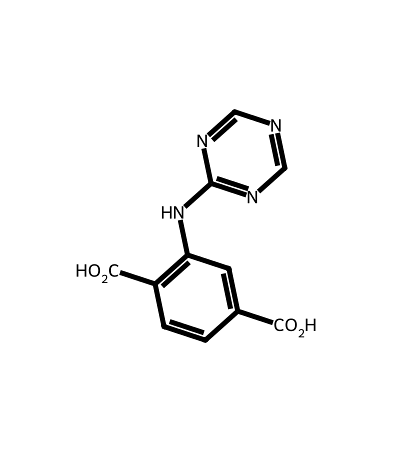 O=C(O)c1ccc(C(=O)O)c(Nc2ncncn2)c1